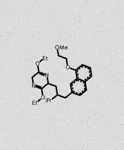 CCOC1=NC(CC(Cc2ccc3cccc(OCCOC)c3c2)C(C)C)C(OCC)=NC1